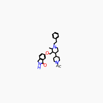 CC(=O)N1CCC(C2CCN(CCc3ccccc3)C(C)C2COc2ccc3c(c2)C(=O)NC3)CC1